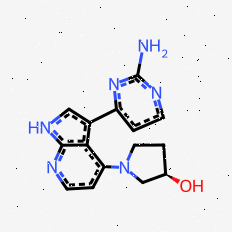 Nc1nccc(-c2c[nH]c3nccc(N4CC[C@@H](O)C4)c23)n1